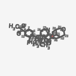 CNc1c(Nc2ccc(S(C)(=O)=O)cc2F)ccnc1OC1C2COCC1CN(C(=O)OC(C)(C)C)C2